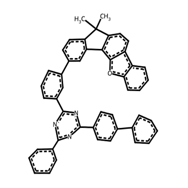 CC1(C)c2ccc(-c3cccc(-c4nc(-c5ccccc5)nc(-c5ccc(-c6ccccc6)cc5)n4)c3)cc2-c2c1ccc1c2oc2ccccc21